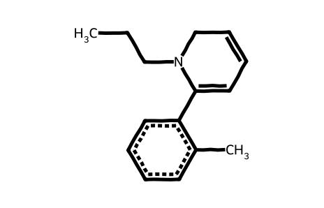 CCCN1CC=CC=C1c1ccccc1C